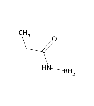 BNC(=O)CC